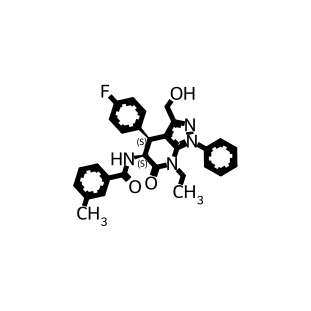 CCN1C(=O)[C@@H](NC(=O)c2cccc(C)c2)[C@@H](c2ccc(F)cc2)c2c(CO)nn(-c3ccccc3)c21